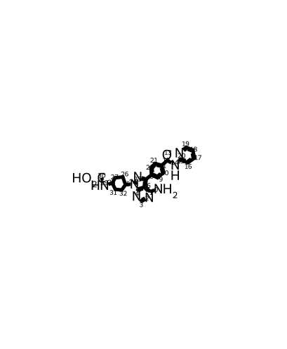 Nc1ncnc2c1c(-c1ccc(C(=O)Nc3ccccn3)cc1)nn2C1CCC(NC(=O)O)CC1